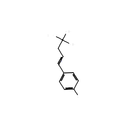 CC(C)(C)C/C=C/c1ccc(Cl)cc1